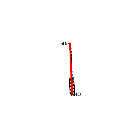 CCCCCCCCCCCCCCCCCCCCCCCCCCCCCCCCCCCCCCCCCCCCCCCCCCCCCCCCCCC(=O)C(=O)C(=O)C(=O)C(=O)C(=O)C(=O)C(=O)C(=O)C(=O)C(=O)C(=O)C(=O)C(=O)C(=O)C(=O)C(=O)C(=O)C(=O)C(=O)C(=O)C(=O)C=O